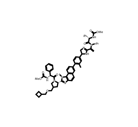 C=C(C1=NCC(c2ccc(-c3ccc4c(ccc5nc([C@@H]6CC(COCC7CCC7)CN6C(=O)[C@H](NC(=O)OC)c6ccccc6)n(I)c54)c3)c(C)c2)N1)N(CCC)C(=O)[C@@H](NC(=O)OC)C(C)C